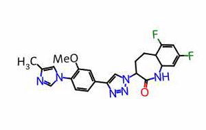 COc1cc(-c2cn(C3CCC4C(F)=CC(F)=CC4NC3=O)nn2)ccc1-n1cnc(C)c1